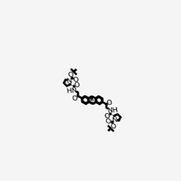 CC(C)(C)OC(=O)N1CCC[C@H]1C(=O)NCC(=O)c1ccc2c(c1)C1CCC2c2cc(C(=O)CNC(=O)[C@@H]3CCCN3C(=O)OC(C)(C)C)ccc21